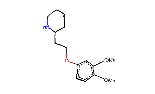 COc1ccc(OCCC2CCCCN2)cc1OC